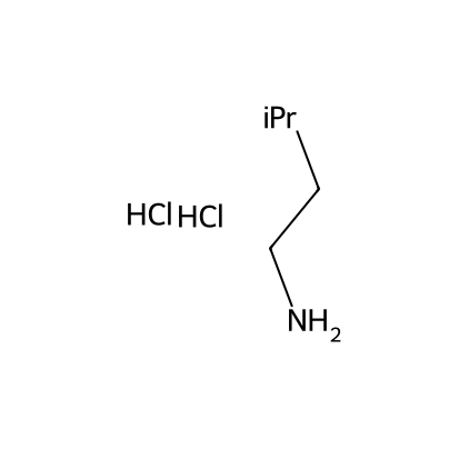 CC(C)CCN.Cl.Cl